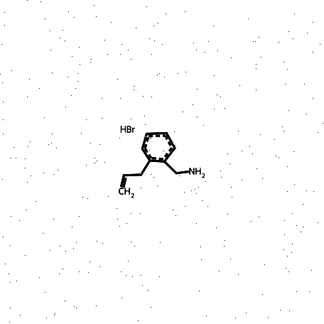 Br.C=CCc1ccccc1CN